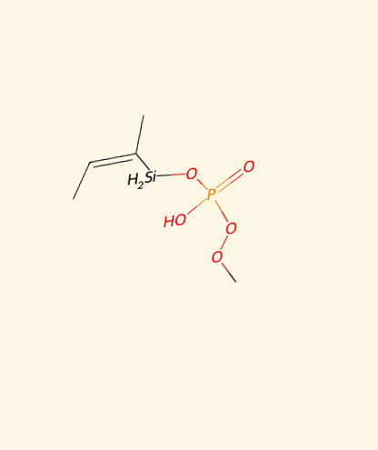 CC=C(C)[SiH2]OP(=O)(O)OOC